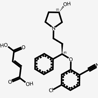 N#Cc1ccc(Cl)cc1O[C@H](CCN1CC[C@H](O)C1)c1ccccc1.O=C(O)C=CC(=O)O